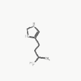 CC(C)CCC1=CNCN1